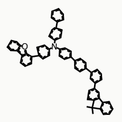 CC1(C)c2ccccc2-c2cc(-c3cccc(-c4ccc(-c5ccc(N(c6ccc(-c7ccccc7)cc6)c6ccc(-c7cccc8c7oc7ccccc78)cc6)cc5)cc4)c3)ccc21